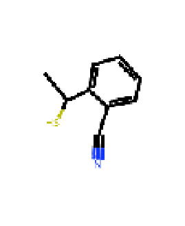 C[C](S)c1ccccc1C#N